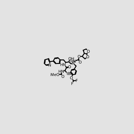 COC(=O)NC(C(=O)NC(Cc1ccc(-c2ccccn2)cc1)C(O)CN(Cc1ccc(OC(F)F)cc1)NC(=O)OC1COC2OCCC12)C(C)(C)C